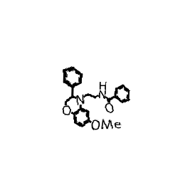 COc1ccc2c(c1)N(CCNC(=O)c1ccccc1)C(c1ccccc1)CO2